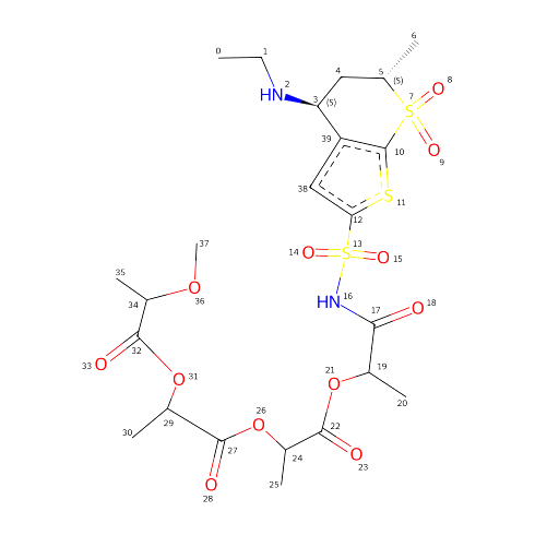 CCN[C@H]1C[C@H](C)S(=O)(=O)c2sc(S(=O)(=O)NC(=O)C(C)OC(=O)C(C)OC(=O)C(C)OC(=O)C(C)OC)cc21